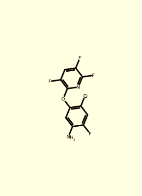 Nc1cc(Oc2nc(F)c(F)cc2F)c(Cl)cc1F